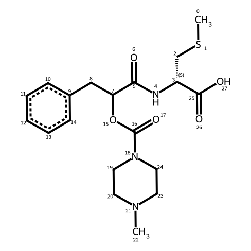 CSC[C@@H](NC(=O)C(Cc1ccccc1)OC(=O)N1CCN(C)CC1)C(=O)O